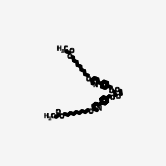 C=CC(=O)OCCCCCCCCCOc1ccc(-c2ccc(COC3OCCOC3OCc3ccc(-c4ccc(OCCCCCCCCCOC(=O)C=C)cn4)cc3)cc2)nc1